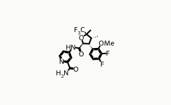 COc1c([C@@H]2[C@@H](C(=O)Nc3ccnc(C(N)=O)c3)O[C@@](C)(C(F)(F)F)[C@@H]2C)ccc(F)c1F